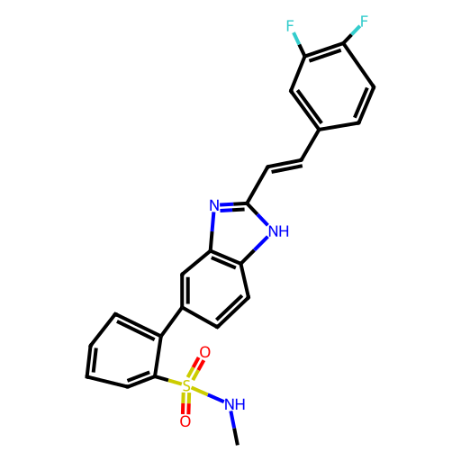 CNS(=O)(=O)c1ccccc1-c1ccc2[nH]c(C=Cc3ccc(F)c(F)c3)nc2c1